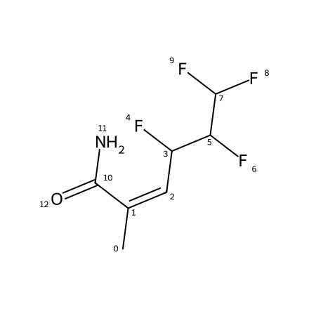 CC(=CC(F)C(F)C(F)F)C(N)=O